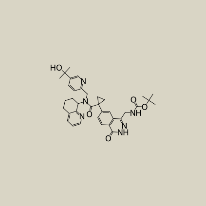 CC(C)(C)OC(=O)NCc1n[nH]c(=O)c2ccc(C3(C(=O)N(Cc4ccc(C(C)(C)O)cn4)C4CCCc5cccnc54)CC3)cc12